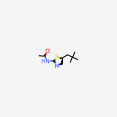 CC(=O)Nc1ncc(CC(C)(C)C)s1